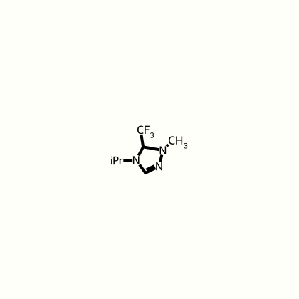 CC(C)N1C=NN(C)C1C(F)(F)F